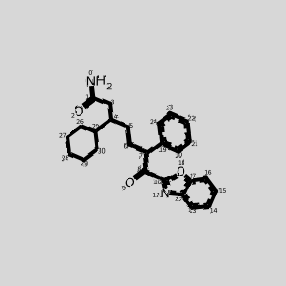 NC(=O)CC(CCC(C(=O)c1nc2ccccc2o1)c1ccccc1)C1CCCCC1